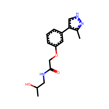 Cc1n[nH]cc1-c1c[c]cc(OCC(=O)NCC(C)O)c1